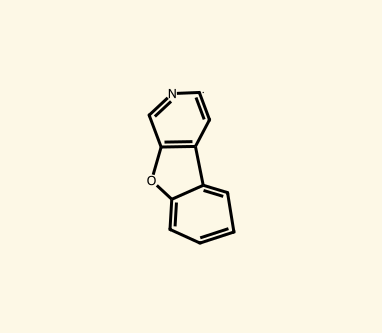 [c]1cc2c(cn1)oc1ccccc12